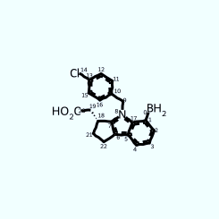 Bc1cccc2c3c(n(Cc4ccc(Cl)cc4)c12)[C@@H](CC(=O)O)CC3